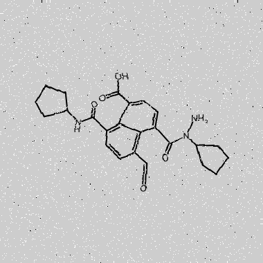 NN(C(=O)c1ccc(C(=O)O)c2c(C(=O)NC3CCCC3)ccc(C=O)c12)C1CCCC1